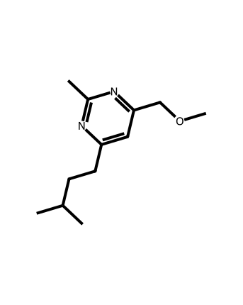 COCc1cc(CCC(C)C)nc(C)n1